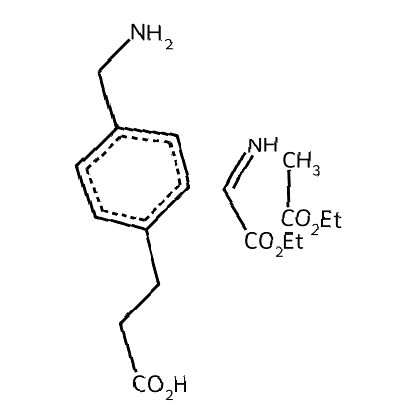 CCOC(=O)C=N.CCOC(C)=O.NCc1ccc(CCC(=O)O)cc1